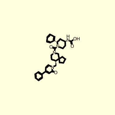 O=C(O)N[C@@H]1CCN(C(=O)N2CC[C@H](Cn3ccc(-c4ccccc4)cc3=O)C3(CCCC3)C2)[C@H](c2ccccc2)C1